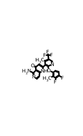 Cc1c(Oc2ncc(C(F)(F)F)c(C)c2-c2cc(=O)c3c(N)nccc3[nH]2)ccc(F)c1F